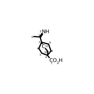 CC(=N)C12CCC(C(=O)O)(CC1)CC2